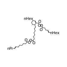 CCCC=CCCCCCC(=O)OOC(=O)CCCCCCCC1CCC(CCCCCC)C=C1C(=O)OOC(=O)CCC=CCCCCCC